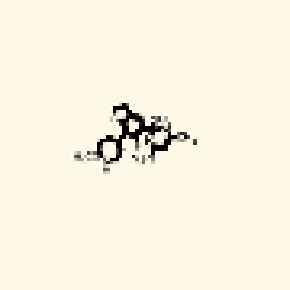 CNC1=NC(N)(c2cc3c(c(C4=CCN[C@@H](C)CC4)c2F)OCC3)NC(C)=C1